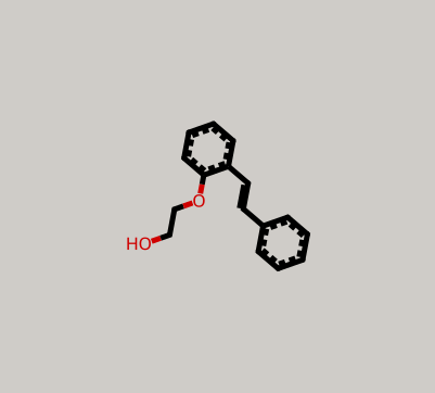 OCCOc1ccccc1C=Cc1ccccc1